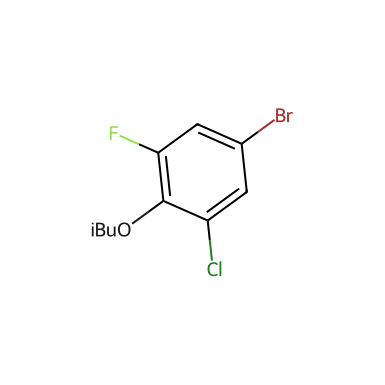 CC(C)COc1c(F)cc(Br)cc1Cl